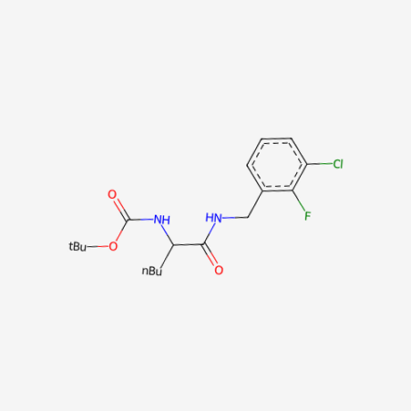 CCCCC(NC(=O)OC(C)(C)C)C(=O)NCc1cccc(Cl)c1F